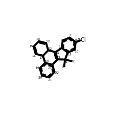 CC1(C)C2=C(c3ccc(Cl)cc31)C1C=CC=CC1c1ccccc12